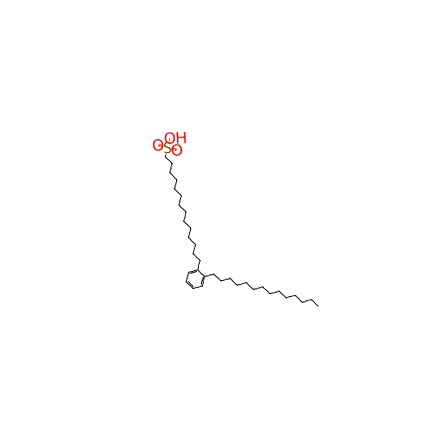 CCCCCCCCCCCCCCc1ccccc1CCCCCCCCCCCCCCS(=O)(=O)O